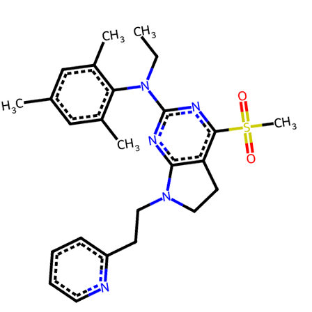 CCN(c1nc2c(c(S(C)(=O)=O)n1)CCN2CCc1ccccn1)c1c(C)cc(C)cc1C